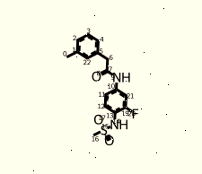 Cc1cccc(CC(=O)Nc2ccc(NS(C)(=O)=O)c(F)c2)c1